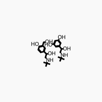 CC(C)(C)NCC(O)c1cc(O)cc(O)c1.CC(C)(C)NCC(O)c1ccc(O)c(CO)c1